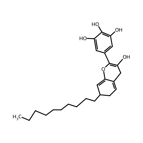 CCCCCCCCCCC1C=C2OC(c3cc(O)c(O)c(O)c3)=C(O)CC2=CC1